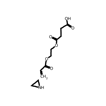 C1CN1.C=CC(=O)OCCOC(=O)CCC(=O)O